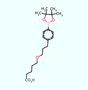 CC1(C)OB(c2ccc(CCCOCCCCC(=O)O)cc2)OC1(C)C